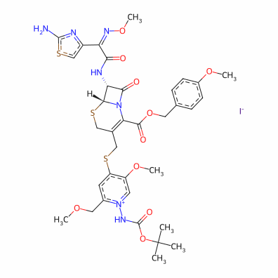 COCc1cc(SCC2=C(C(=O)OCc3ccc(OC)cc3)N3C(=O)[C@@H](NC(=O)/C(=N\OC)c4csc(N)n4)[C@H]3SC2)c(OC)c[n+]1NC(=O)OC(C)(C)C.[I-]